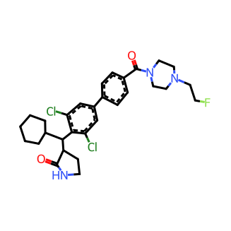 O=C1NCCC1C(c1c(Cl)cc(-c2ccc(C(=O)N3CCN(CCF)CC3)cc2)cc1Cl)C1CCCCC1